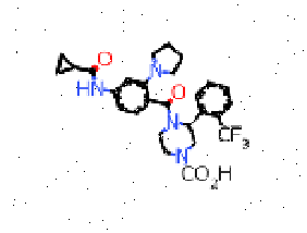 O=C(Nc1ccc(C(=O)N2CCN(C(=O)O)C[C@@H]2c2ccccc2C(F)(F)F)c(N2CCCC2)c1)C1CC1